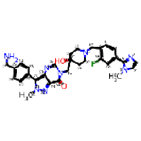 Cn1ccnc1-c1ccc(CN2CCC(O)(Cn3cnc4c(-c5ccc(CN)cc5)n(C)nc4c3=O)CC2)c(F)c1